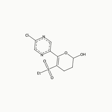 CCS(=O)(=O)C1=C(c2cnc(Cl)cn2)OC(O)CC1